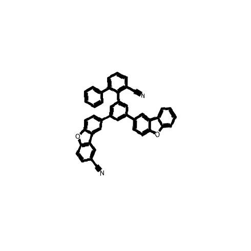 N#Cc1ccc2oc3ccc(-c4cc(-c5ccc6oc7ccccc7c6c5)cc(-c5c(C#N)cccc5-c5ccccc5)c4)cc3c2c1